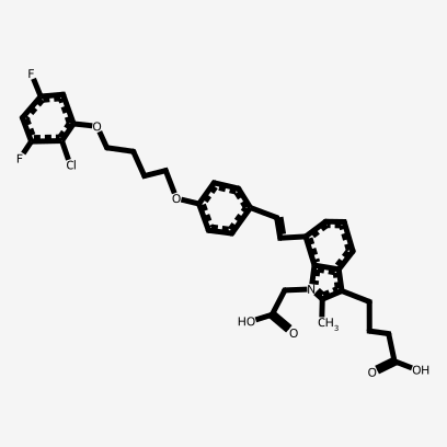 Cc1c(CCCC(=O)O)c2cccc(C=Cc3ccc(OCCCCOc4cc(F)cc(F)c4Cl)cc3)c2n1CC(=O)O